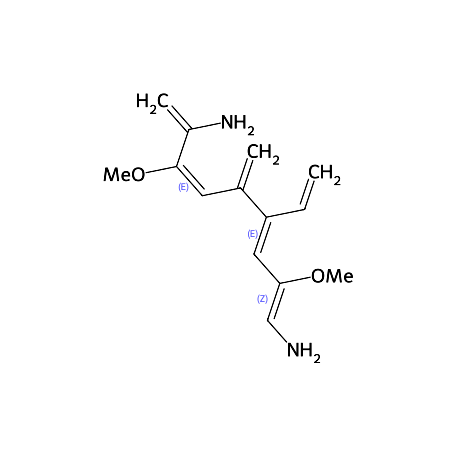 C=C/C(=C\C(=C\N)OC)C(=C)/C=C(/OC)C(=C)N